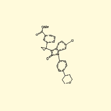 COC(=O)c1cccc(C2(n3c(=O)n(-c4ccc(C5CCOCC5)cc4)c4cc(Cl)ccc43)CC2)c1